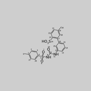 Cc1ccc(S(=O)(=O)NC(=O)Nc2cccc(-c3cc(C)ccc3S(=O)(=O)O)c2)cc1